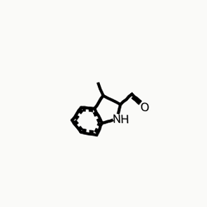 CC1c2ccccc2NC1C=O